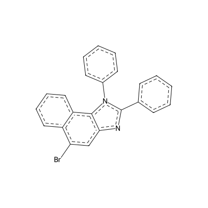 Brc1cc2nc(-c3ccccc3)n(-c3ccccc3)c2c2ccccc12